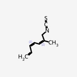 C=C/C=C\C=C(\C)CN=C=S